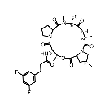 CC[C@H]1C(=O)N[C@@H](C)C(=O)N2C[C@H](C)CC2C(=O)O[C@@H](C)[C@H](NC(=O)CCc2cc(F)cc(F)c2)C(=O)N2CCCC2C(=O)N1C